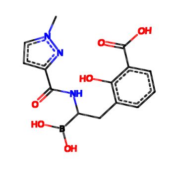 Cn1ccc(C(=O)NC(Cc2cccc(C(=O)O)c2O)B(O)O)n1